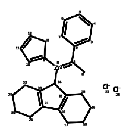 C/[C](c1ccccc1)=[Zr+2](/[C]1=CC=CC1)[CH]1C2=C(CCCC2)C2=C1CCCC2.[Cl-].[Cl-]